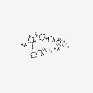 COC(=O)Cc1ccccc1C#Cc1nc(Nc2ccc(N3CCN(C(=O)OC(C)(C)C)CC3)cc2)ncc1C